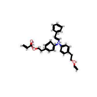 C=COCCc1ccc(N(C=Cc2ccccc2)c2ccc(CCOC(=O)C=C)cc2)cc1